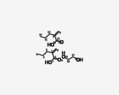 C=C(CCC)C(=O)O.C=C(CCC)C(=O)O.OCCO